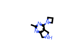 Cc1nc2c(c(N3CCC3)n1)CNC2